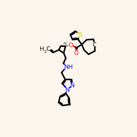 C=CC1C[C@H](OC(=O)C2(c3cccs3)CCCCCC2)C1CCNCc1cnn(-c2ccccc2)c1